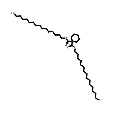 CC(C)CCCCCCCCCCCCCCCOC(=O)C1(C(=O)OCCCCCCCCCCCCCCCC(C)C)CCCCC1